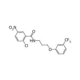 O=C(NCCCOc1cccc(C(F)(F)F)c1)c1cc([N+](=O)[O-])ccc1Cl